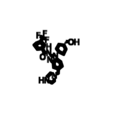 O=C(Nc1nc2cc(CN3CCNCC3)ccc2n1[C@H]1CC[C@@H](CO)CC1)c1cccc(C(F)(F)F)c1